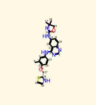 Cc1cc(Nc2ncnc3ccc(NC4=NC(C)(C)CO4)cc23)ccc1OC[C@@H]1NC=CS1